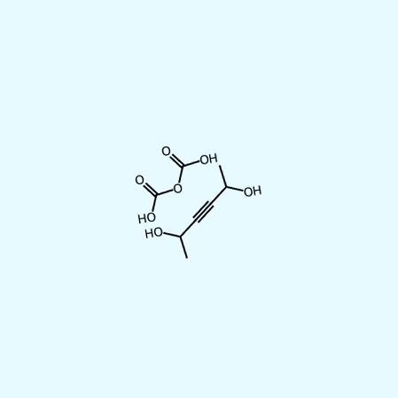 CC(O)C#CC(C)O.O=C(O)OC(=O)O